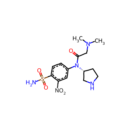 CN(C)CC(=O)N(c1ccc(S(N)(=O)=O)c([N+](=O)[O-])c1)[C@@H]1CCNC1